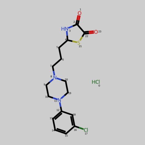 Cl.O=C1NC(CCCN2CCN(c3cccc(Cl)c3)CC2)SC1=O